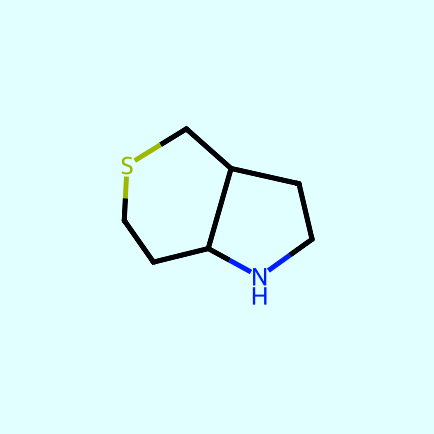 C1CC2CSCCC2N1